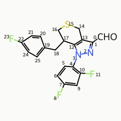 O=Cc1nn(-c2ccc(F)cc2F)c2c1CSCC2Cc1ccc(F)cc1